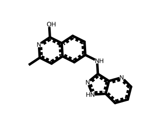 Cc1cc2cc(Nc3n[nH]c4cccnc34)ccc2c(O)n1